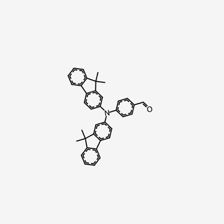 CC1(C)c2ccccc2-c2ccc(N(c3ccc(C=O)cc3)c3ccc4c(c3)C(C)(C)c3ccccc3-4)cc21